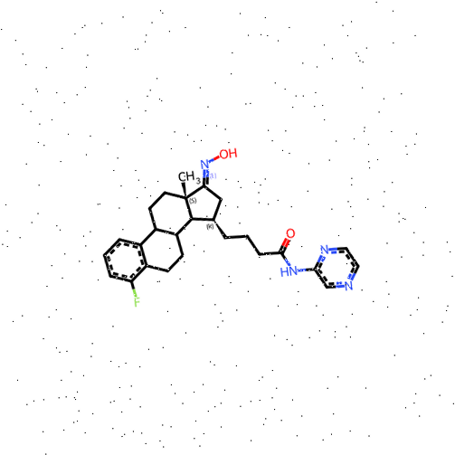 C[C@]12CCC3c4cccc(F)c4CCC3C1[C@H](CCCC(=O)Nc1cnccn1)C/C2=N\O